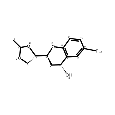 CC1OC[C@@H]([C@@H]2C[C@@H](O)c3cc(F)ccc3O2)O1